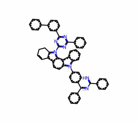 N=C(/N=C(/c1ccccc1)c1ccc(-n2c3ccccc3c3c4c(ccc32)c2c(n4-c3nc(-c4ccccc4)nc(-c4cccc(-c5ccccc5)c4)n3)CCC=C2)cc1)c1ccccc1